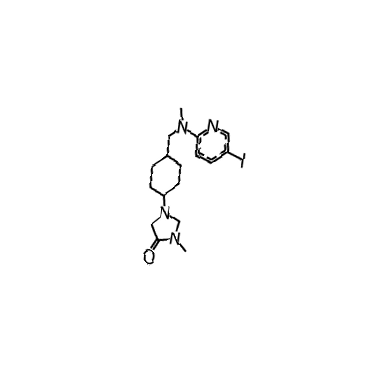 CN1CN(C2CCC(CN(C)c3ccc(I)cn3)CC2)CC1=O